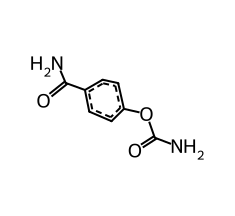 NC(=O)Oc1ccc(C(N)=O)cc1